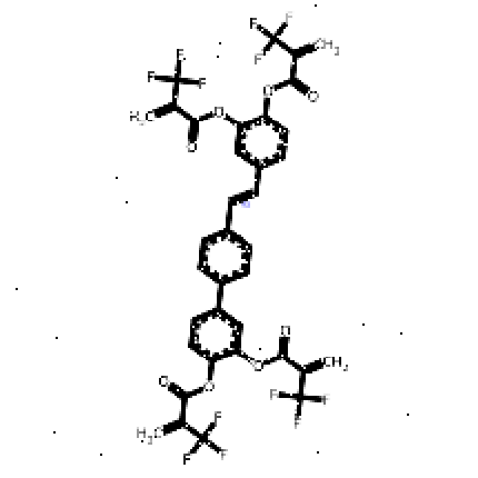 C=C(C(=O)Oc1ccc(/C=C/c2ccc(-c3ccc(OC(=O)C(=C)C(F)(F)F)c(OC(=O)C(=C)C(F)(F)F)c3)cc2)cc1OC(=O)C(=C)C(F)(F)F)C(F)(F)F